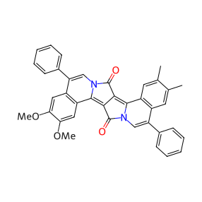 COc1cc2c(cc1OC)C1=C3C(=O)N4C=C(c5ccccc5)c5cc(C)c(C)cc5C4=C3C(=O)N1C=C2c1ccccc1